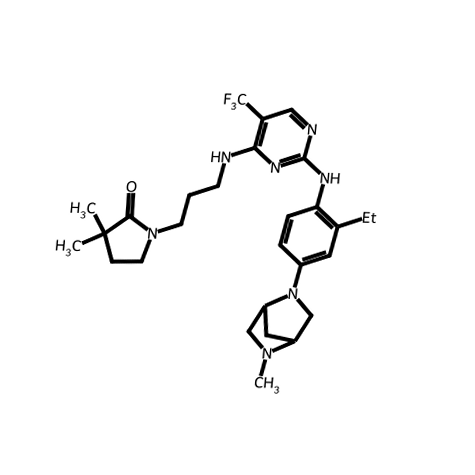 CCc1cc(N2CC3CC2CN3C)ccc1Nc1ncc(C(F)(F)F)c(NCCCN2CCC(C)(C)C2=O)n1